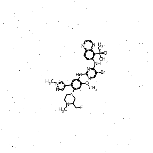 COc1cc(N2CCN(C)C(CF)C2)c(-c2cnn(C)c2)cc1Nc1ncc(Br)c(Nc2ccc3nccnc3c2P(C)(C)=O)n1